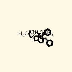 CCN1CC2CC3CN(CC(C)C)C(C2(Cc2ccccc2)Cc2ccccc2)C31C(N)=O